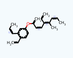 C=CC(/C=C\C(=C)Oc1ccc(C=C)c(/C=C\C)c1)=C(C)\C=C/C